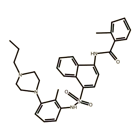 CCCN1CCN(c2cccc(NS(=O)(=O)c3ccc(NC(=O)c4ccccc4C)c4ccccc34)c2C)CC1